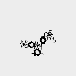 C[C@@H]1C[C@H](n2c(Nc3ccc(OC(F)(F)P)cc3)nc3ccc(OC(F)(F)F)cc32)CC(C)(C)C1